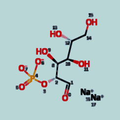 O=C[C@H](OP(=O)([O-])[O-])[C@@H](O)[C@H](O)[C@H](O)CO.[Na+].[Na+]